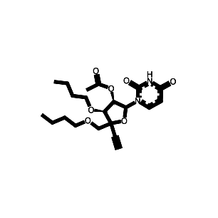 C#CC1(COCCCC)OC(n2ccc(=O)[nH]c2=O)[C@H](OC(C)=O)[C@@H]1OCCCC